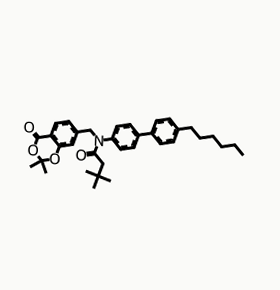 CCCCCCc1ccc(-c2ccc(N(Cc3ccc4c(c3)OC(C)(C)OC4=O)C(=O)CC(C)(C)C)cc2)cc1